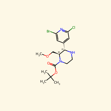 COC[C@H]1[C@H](c2cc(Cl)nc(Br)c2)NCCN1C(=O)OC(C)(C)C